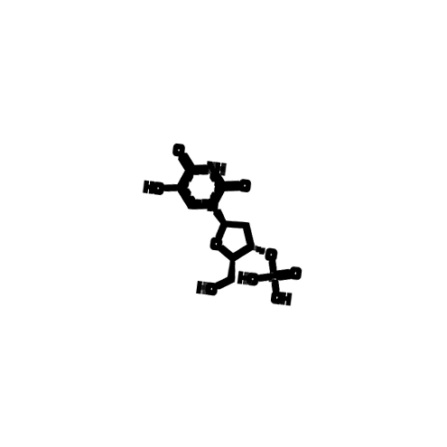 O=c1[nH]c(=O)n([C@H]2C[C@H](OP(=O)(O)O)[C@@H](CO)O2)cc1O